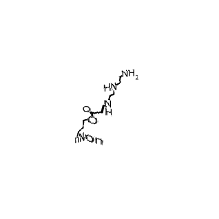 CCCCCCCCCCCCOC(=O)CCNCCNCCN